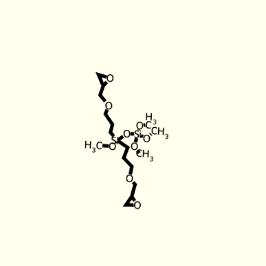 CO[Si](CCCOCC1CO1)(CCCOCC1CO1)O[Si](OC)(OC)OC